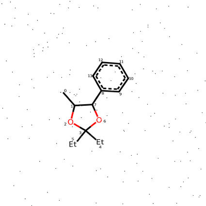 [CH2]C1OC(CC)(CC)OC1c1ccccc1